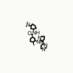 Cc1ccc(C(=O)Nc2cccc(N(C)C)c2)cc1Nc1ncccc1-c1ccncn1